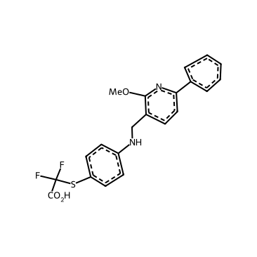 COc1nc(-c2ccccc2)ccc1CNc1ccc(SC(F)(F)C(=O)O)cc1